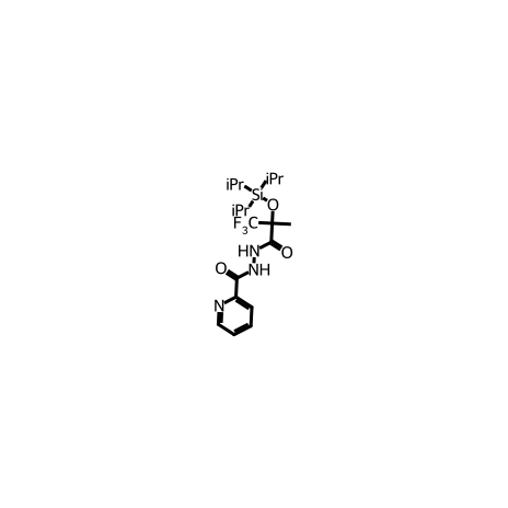 CC(C)[Si](OC(C)(C(=O)NNC(=O)c1ccccn1)C(F)(F)F)(C(C)C)C(C)C